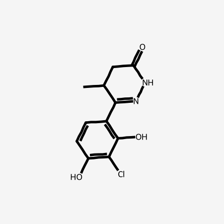 CC1CC(=O)NN=C1c1ccc(O)c(Cl)c1O